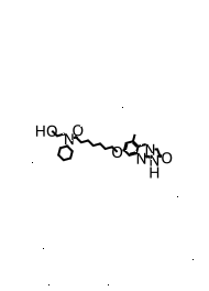 Cc1cc(OCCCCCCC(=O)N(CCO)C2CCCCC2)cc2c1CN1CC(=O)NC1=N2